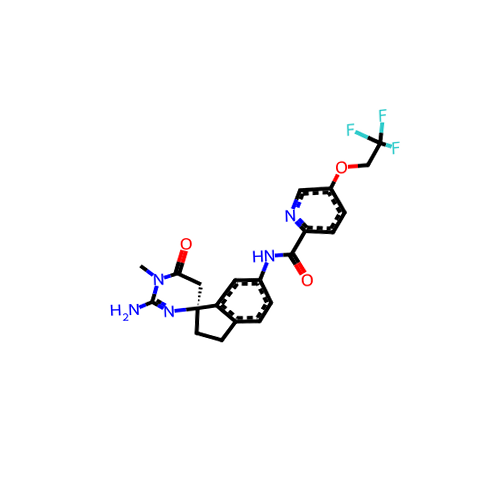 CN1C(=O)C[C@]2(CCc3ccc(NC(=O)c4ccc(OCC(F)(F)F)cn4)cc32)N=C1N